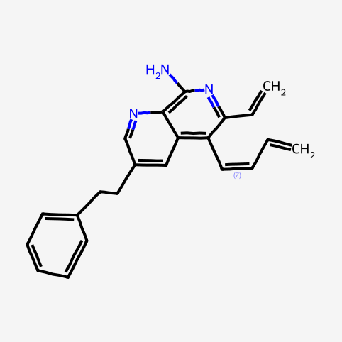 C=C/C=C\c1c(C=C)nc(N)c2ncc(CCc3ccccc3)cc12